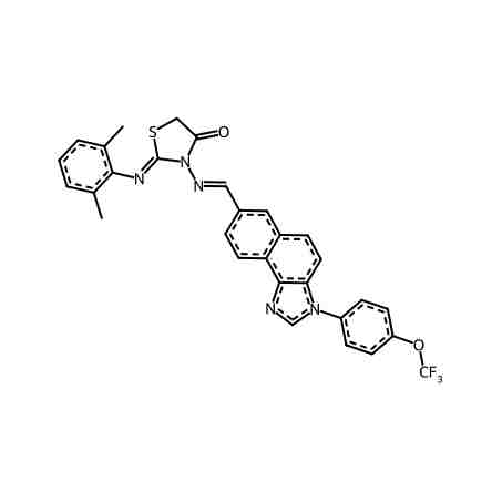 Cc1cccc(C)c1/N=C1\SCC(=O)N1/N=C/c1ccc2c(ccc3c2ncn3-c2ccc(OC(F)(F)F)cc2)c1